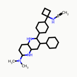 C=BNC1(C2CCC(C3NC4CCC(N(C)C)NC4CC3C3CCCCC3)CC2)CCC1